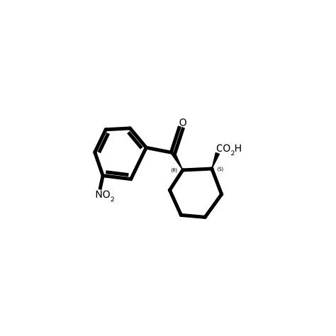 O=C(O)[C@H]1CCCC[C@H]1C(=O)c1cccc([N+](=O)[O-])c1